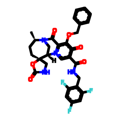 C[C@H]1CC[C@@]2(CNC(=O)O2)[C@H]2CN1C(=O)c1c(OCc3ccccc3)c(=O)c(C(=O)NCc3c(F)cc(F)cc3F)cn12